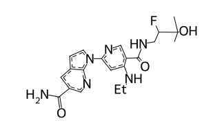 CCNc1cc(-n2ccc3cc(C(N)=O)cnc32)ncc1C(=O)NCC(F)C(C)(C)O